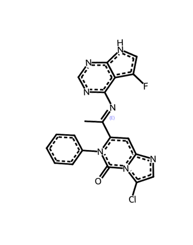 C/C(=N\c1ncnc2[nH]cc(F)c12)c1cc2ncc(Cl)n2c(=O)n1-c1ccccc1